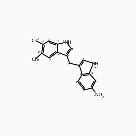 O=[N+]([O-])c1ccc2c(Cc3c[nH]c4cc(Cl)c(Cl)cc34)c[nH]c2c1